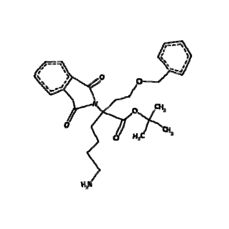 CC(C)(C)OC(=O)C(CCCCN)(CCOCc1ccccc1)N1C(=O)c2ccccc2C1=O